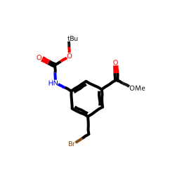 COC(=O)c1cc(CBr)cc(NC(=O)OC(C)(C)C)c1